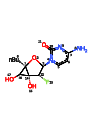 CCCC[C@]12O[C@@H](n3ccc(N)nc3=O)[C@H](F)[C@@]1(O)C2O